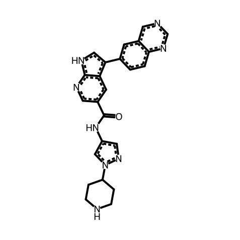 O=C(Nc1cnn(C2CCNCC2)c1)c1cnc2[nH]cc(-c3ccc4ncncc4c3)c2c1